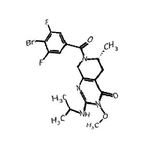 COn1c(NC(C)C)nc2c(c1=O)C[C@@H](C)N(C(=O)c1cc(F)c(Br)c(F)c1)C2